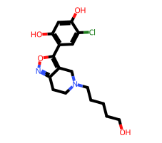 OCCCCCN1CCc2noc(-c3cc(Cl)c(O)cc3O)c2C1